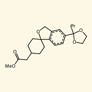 COC(=O)CC1CCC2(CC1)OCc1cc(C3(C(C)C)OCCO3)ccc12